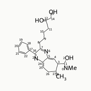 CNC(O)C1C=c2nc(CCCCC(O)CO)c(-c3ccccc3)nc2=CCC1C